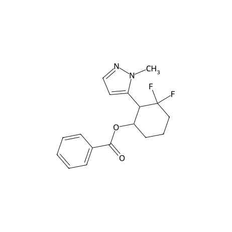 Cn1nccc1C1C(OC(=O)c2ccccc2)CCCC1(F)F